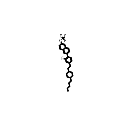 CCCCCC1CCC(CCc2ccc(-c3ccc4cc(OC(F)(F)F)ccc4c3)c(F)c2)CC1